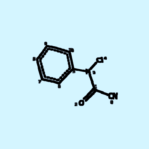 N#CC(=O)N(Cl)c1ccccc1